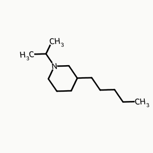 CCCCCC1CCCN(C(C)C)C1